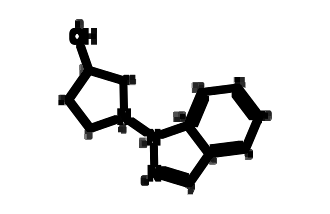 OC1CCN(n2ncc3c[c]ccc32)C1